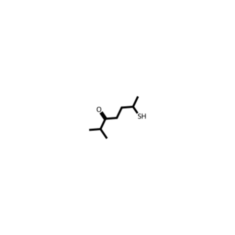 CC(S)CCC(=O)C(C)C